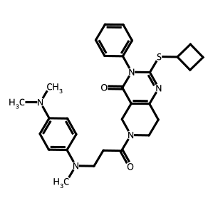 CN(C)c1ccc(N(C)CCC(=O)N2CCc3nc(SC4CCC4)n(-c4ccccc4)c(=O)c3C2)cc1